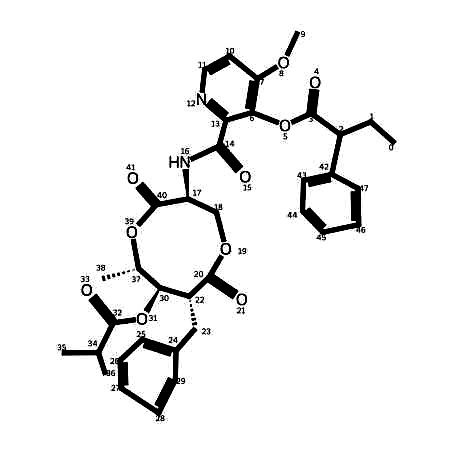 CCC(C(=O)Oc1c(OC)ccnc1C(=O)N[C@H]1COC(=O)[C@H](Cc2ccccc2)[C@@H](OC(=O)C(C)C)[C@H](C)OC1=O)c1ccccc1